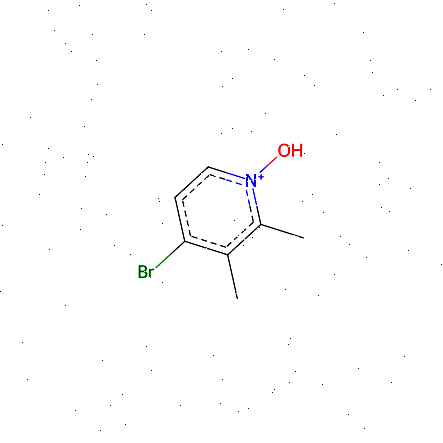 Cc1c(Br)cc[n+](O)c1C